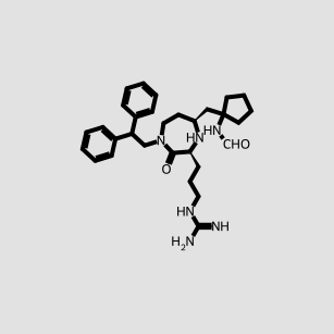 N=C(N)NCCC[C@@H]1N[C@H](CC2(NC=O)CCCC2)CCN(CC(c2ccccc2)c2ccccc2)C1=O